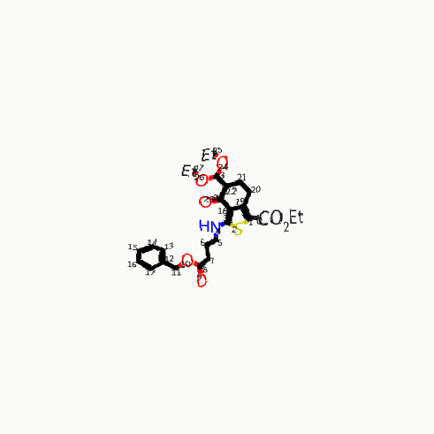 CCOC(=O)c1sc(NCCCC(=O)OCc2ccccc2)c2c1CCC(C(OCC)OCC)C2=O